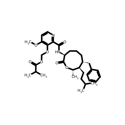 COc1ccnc(C(=O)N[C@H]2CCC[C@H](Cc3ccccc3)[C@@H](CCC(C)C)[C@H](C)OC2=O)c1OCOC(=O)C(C)C